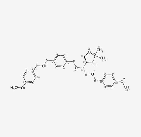 COc1ccc(COCc2ccc(CO[C@@H](COCc3ccc(OC)cc3)[C@H]3COC(C)(C)O3)cc2)cc1